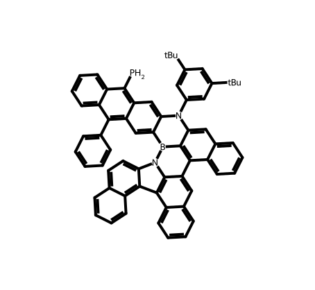 CC(C)(C)c1cc(N2c3cc4c(P)c5ccccc5c(-c5ccccc5)c4cc3B3c4c2cc2ccccc2c4-c2cc4ccccc4c4c5c6ccccc6ccc5n3c24)cc(C(C)(C)C)c1